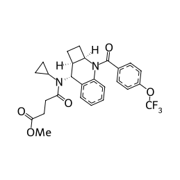 COC(=O)CCC(=O)N(C1CC1)[C@H]1c2ccccc2N(C(=O)c2ccc(OC(F)(F)F)cc2)[C@@H]2CC[C@@H]21